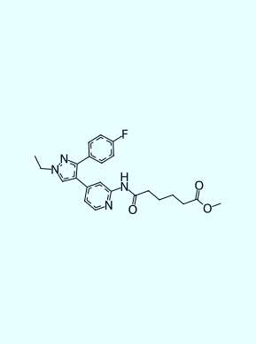 CCn1cc(-c2ccnc(NC(=O)CCCCC(=O)OC)c2)c(-c2ccc(F)cc2)n1